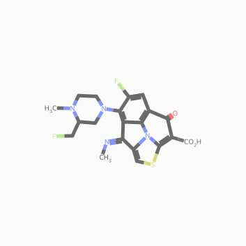 CN=c1c2c(N3CCN(C)C(CF)C3)c(F)cc3c(=O)c(C(=O)O)c4scc1n4c32